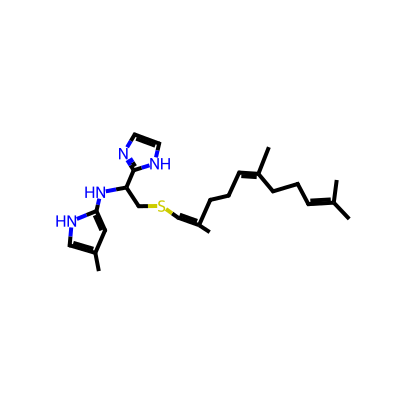 CC(C)=CCCC(C)=CCCC(C)=CSCC(Nc1cc(C)c[nH]1)c1ncc[nH]1